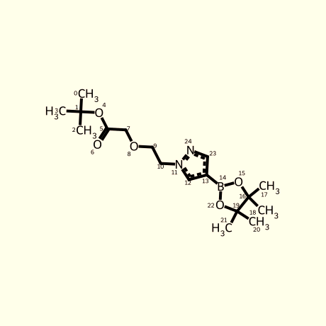 CC(C)(C)OC(=O)COCCn1cc(B2OC(C)(C)C(C)(C)O2)cn1